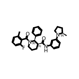 Cc1cccc(F)c1C(=O)N1CCC[C@H](C(=O)Nc2cccc(N3CCC[C@H]3C)c2)[C@@H]1c1ccccc1